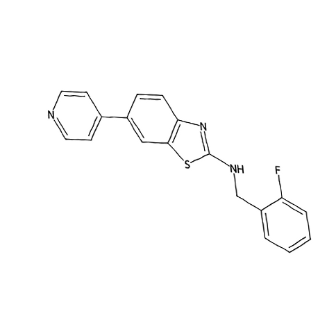 Fc1ccccc1CNc1nc2ccc(-c3ccncc3)cc2s1